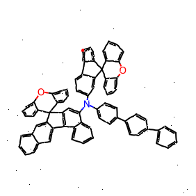 c1ccc(-c2ccc(-c3ccc(N(c4ccc5c(c4)C4(c6ccccc6Oc6ccccc64)c4ccccc4-5)c4cc5c(c6ccccc46)-c4cc6ccccc6cc4C54c5ccccc5Oc5ccccc54)cc3)cc2)cc1